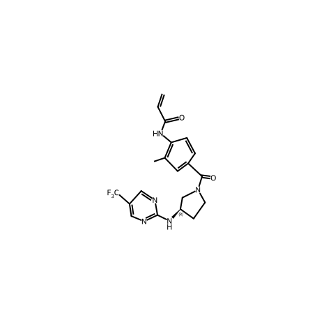 C=CC(=O)Nc1ccc(C(=O)N2CC[C@@H](Nc3ncc(C(F)(F)F)cn3)C2)cc1C